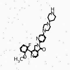 COc1cccc(F)c1-c1nccc2c1CN(c1ccc(N3CCN(C4CCNCC4)CC3)cn1)C2=O